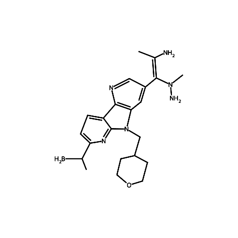 BC(C)c1ccc2c3ncc(/C(=C(\C)N)N(C)N)cc3n(CC3CCOCC3)c2n1